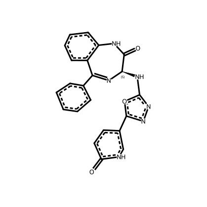 O=C1Nc2ccccc2C(c2ccccc2)=N[C@@H]1Nc1nnc(-c2ccc(=O)[nH]c2)o1